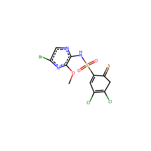 COc1nc(Br)cnc1NS(=O)(=O)C1=CC(Cl)=C(Cl)CC1=S